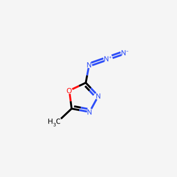 Cc1nnc(N=[N+]=[N-])o1